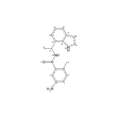 Cc1ccc(N)cc1C(=O)NC(C)c1cccc2cc[nH]c12